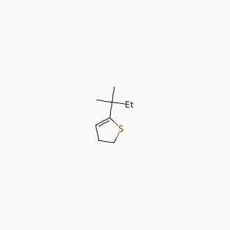 CCC(C)(C)C1=CCCS1